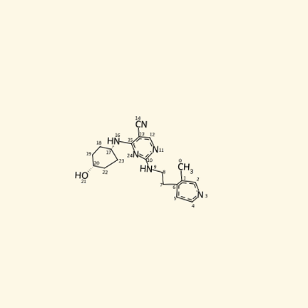 Cc1cnccc1CCNc1ncc(C#N)c(N[C@H]2CC[C@@H](O)CC2)n1